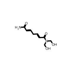 NC(=O)C=CCC=CC(=O)N(CO)CO